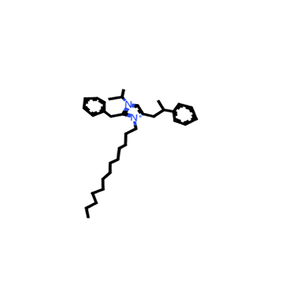 CCCCCCCCCCCCC[n+]1c(CC(C)c2ccccc2)cn(C(C)C)c1Cc1ccccc1